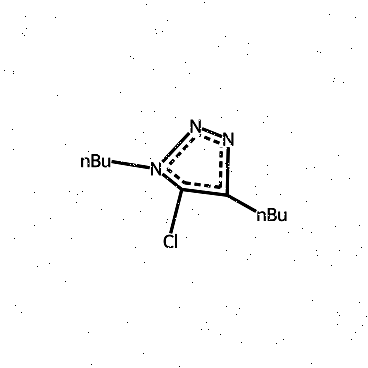 CCCCc1nnn(CCCC)c1Cl